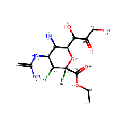 C=C(N)NC1C(N)C(C(O)C(=O)CO)OC(F)(C(=O)OCC)C1F